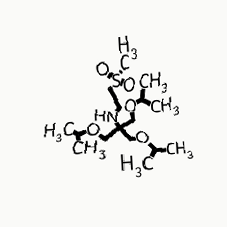 CC(C)OCC(COC(C)C)(COC(C)C)NCCS(C)(=O)=O